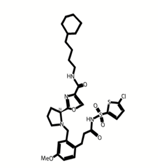 COc1ccc(CCC(=O)NS(=O)(=O)c2ccc(Cl)s2)c(CN2CCC[C@H]2c2nc(C(=O)NCCCCC3CCCCC3)co2)c1